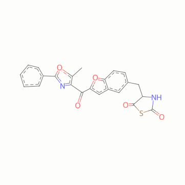 Cc1oc(-c2ccccc2)nc1C(=O)c1cc2cc(CC3NC(=O)SC3=O)ccc2o1